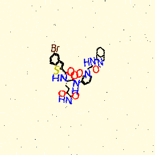 CNC(=O)C(=O)CC[C@H](NC(=O)c1cc2cc(Br)ccc2s1)C(=O)Nc1cccn(CC(=O)NC2C3CCCC(C3)CN2C)c1=O